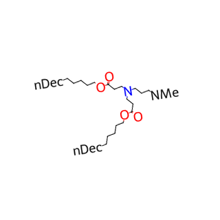 CCCCCCCCCCCCCCCOC(=O)CCN(CCCNC)CCC(=O)OCCCCCCCCCCCCCCC